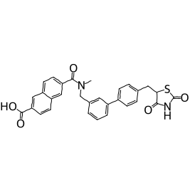 CN(Cc1cccc(-c2ccc(CC3SC(=O)NC3=O)cc2)c1)C(=O)c1ccc2cc(C(=O)O)ccc2c1